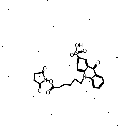 O=C(CCCCCn1c2ccccc2c(=O)c2cc(S(=O)(=O)O)ccc21)ON1C(=O)CCC1=O